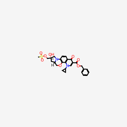 CS(=O)(=O)OC[C@]1(O)C[C@H]2COc3c(ccc4c(=O)c(C(=O)OCc5ccccc5)cn(C5CC5)c34)N2C1